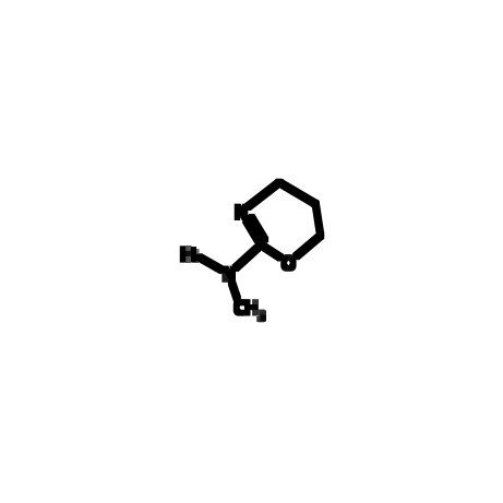 CCN(C)C1=NCCCO1